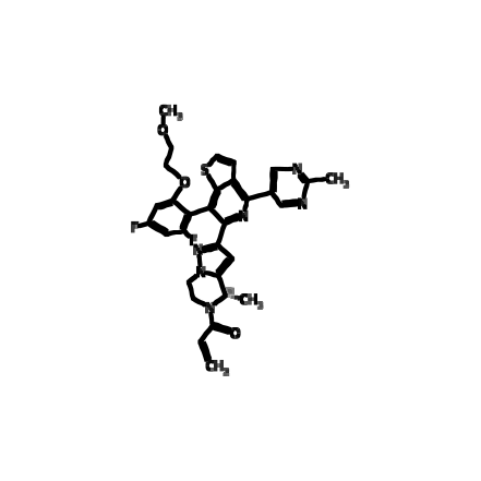 C=CC(=O)N1CCn2nc(-c3nc(-c4cnc(C)nc4)c4ccsc4c3-c3c(F)cc(F)cc3OCCOC)cc2[C@@H]1C